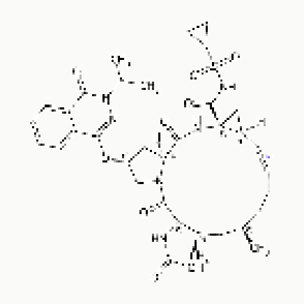 CC(C)n1nc(O[C@@H]2C[C@H]3C(=O)N[C@]4(C(=O)NS(=O)(=O)C5CC5)C[C@H]4/C=C\CC[C@@H](C)C[C@@H](C)[C@H](NC(=O)O)C(=O)N3C2)c2ccccc2c1=O